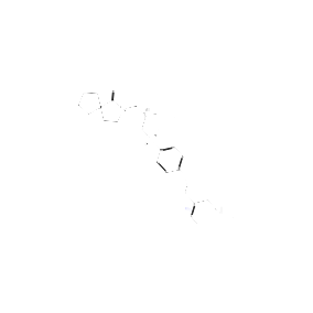 C[C@H](CN1CCC2(CCCC2)C1=O)CS(=O)(=O)c1ccc(OC/C(=C/F)CN)cc1